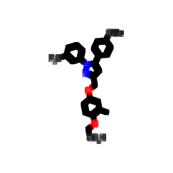 COc1ccc(-c2cc(COc3ccc(OCC(=O)O)c(C)c3)nn2-c2cccc(C(F)(F)F)c2)cc1